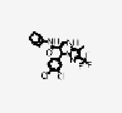 Cc1c(C(F)(F)F)nn2c1NC=C(C(=O)NC1CC3CCC1C3)C2c1ccc(Cl)c(Cl)c1